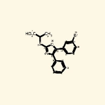 CC(Sc1nc(-c2ccccc2)c(-c2cccc(Br)c2)o1)C(=O)O